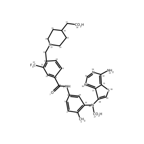 Cc1ccc(NC(=O)c2ccc(CN3CCC(CC(=O)O)CC3)c(C(F)(F)F)c2)cc1N(C(=O)O)c1csc2c(N)ncnc12